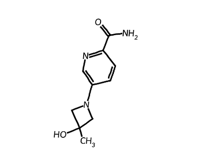 CC1(O)CN(c2ccc(C(N)=O)nc2)C1